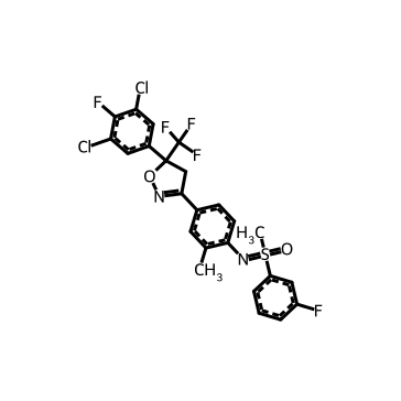 Cc1cc(C2=NOC(c3cc(Cl)c(F)c(Cl)c3)(C(F)(F)F)C2)ccc1N=S(C)(=O)c1cccc(F)c1